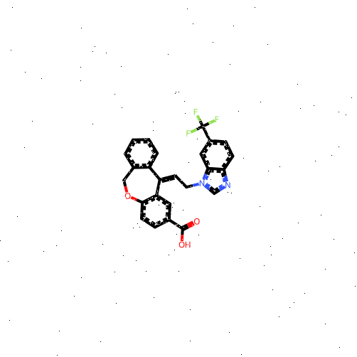 O=C(O)c1ccc2c(c1)C(=CCn1cnc3ccc(C(F)(F)F)cc31)c1ccccc1CO2